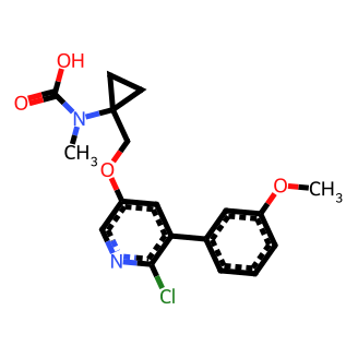 COc1cccc(-c2cc(OCC3(N(C)C(=O)O)CC3)cnc2Cl)c1